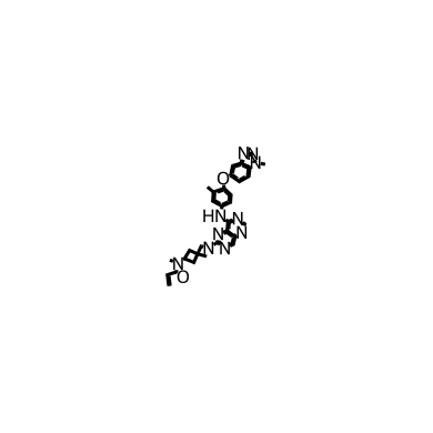 C=CC(=O)N(C)C1CC2(C1)CN(c1ncc3ncnc(Nc4ccc(Oc5ccc6c(c5)nnn6C)c(C)c4)c3n1)C2